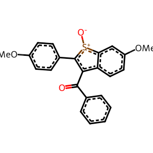 COc1ccc(-c2c(C(=O)c3ccccc3)c3ccc(OC)cc3[s+]2[O-])cc1